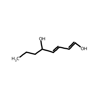 CCCC(O)C=CC=CO